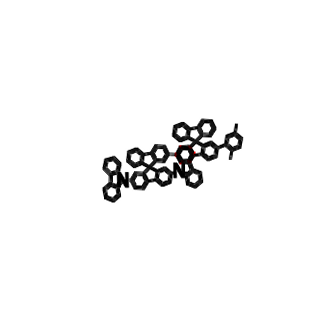 Cc1ccc(C)c(-c2ccc3c(c2)C2(c4ccccc4-c4ccccc42)c2cc(-c4ccc5c(c4)C4(c6ccccc6-5)c5cc(-n6c7ccccc7c7ccccc76)ccc5-c5ccc(-n6c7ccccc7c7ccccc76)cc54)ccc2-3)c1